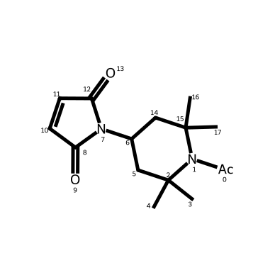 CC(=O)N1C(C)(C)CC(N2C(=O)C=CC2=O)CC1(C)C